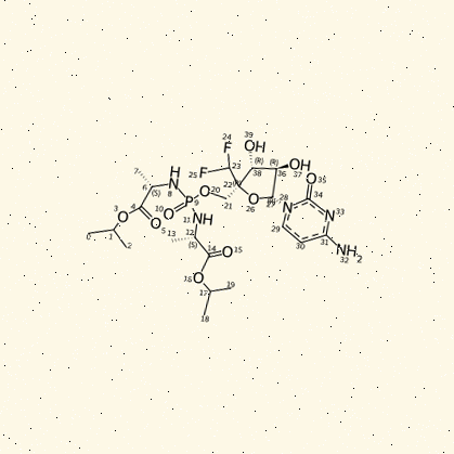 CC(C)OC(=O)[C@H](C)NP(=O)(N[C@@H](C)C(=O)OC(C)C)OC[C@@]1(C(F)F)O[C@@H](n2ccc(N)nc2=O)[C@H](O)[C@H]1O